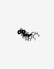 CC#CC(C)(C)NC(=O)C(C)Oc1cccc2oc3ccccc3c12